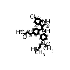 CNCCN(C(C)=O)c1ccc(N/C(=C2\C(=O)Nc3cc(Cl)ccc32)c2ccc(CCC(=O)O)cc2)cc1